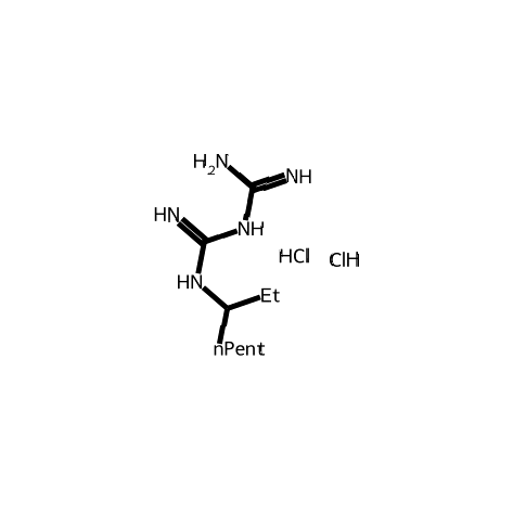 CCCCCC(CC)NC(=N)NC(=N)N.Cl.Cl